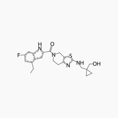 CCc1cc(F)cc2[nH]c(C(=O)N3CCc4nc(NCC5(CO)CC5)sc4C3)cc12